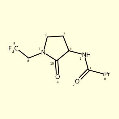 CC(C)C(=O)NC1CCN(CC(F)(F)F)C1=O